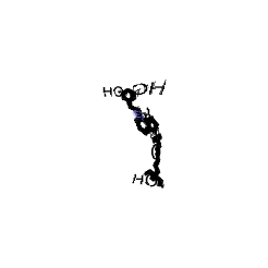 CCC(O)(CC)CCCOCC(C)(C)[C@H]1CC[C@H]2/C(=C/C=C3C[C@@H](O)C[C@H](O)C3)CCC[C@]12C